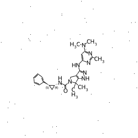 Cc1nc(Nc2n[nH]c3c2CN(C(=O)N[C@@H]2C[C@H]2c2ccccc2)C3(C)C)cc(N(C)C)n1